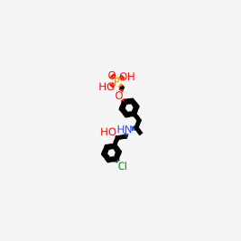 CC(Cc1ccc(OCP(=O)(O)O)cc1)NC[C@H](O)c1cccc(Cl)c1